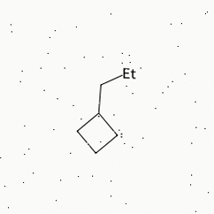 CCC[C]1[C]CC1